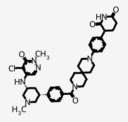 CN1C[C@H](Nc2cnn(C)c(=O)c2Cl)C[C@H](c2ccc(C(=O)N3CCC4(CC3)CCN(c3ccc(C5CCC(=O)NC5=O)cc3)CC4)cc2)C1